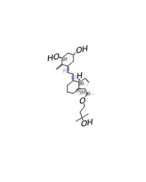 C=C1/C(=C/C=C2\CCC[C@]3(C)[C@@H]([C@H](C)OCCC(C)(C)O)CC[C@@H]23)CC(O)C[C@@H]1O